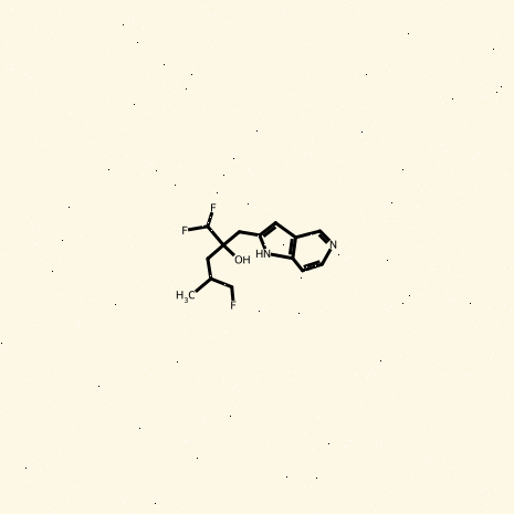 CC(CF)CC(O)(Cc1cc2cnccc2[nH]1)C(F)F